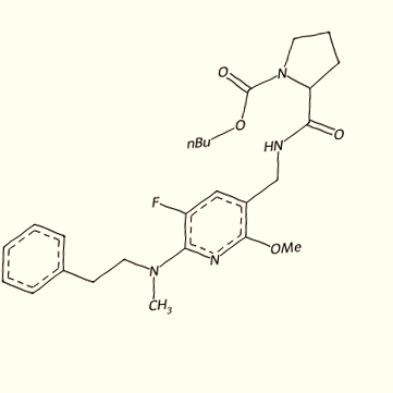 CCCCOC(=O)N1CCCC1C(=O)NCc1cc(F)c(N(C)CCc2ccccc2)nc1OC